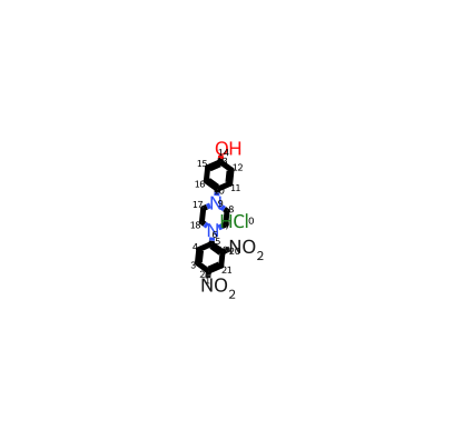 Cl.O=[N+]([O-])c1ccc(N2CCN(c3ccc(O)cc3)CC2)c([N+](=O)[O-])c1